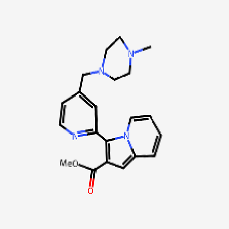 COC(=O)c1cc2ccccn2c1-c1cc(CN2CCN(C)CC2)ccn1